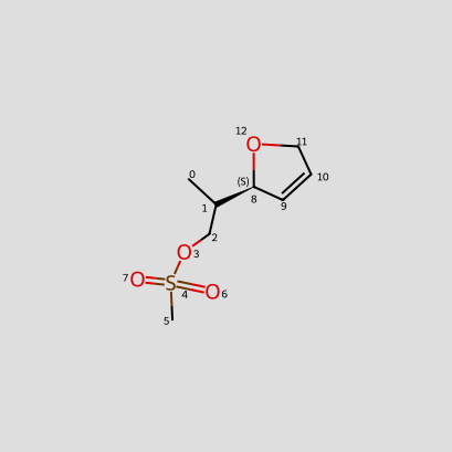 CC(COS(C)(=O)=O)[C@@H]1C=CCO1